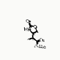 CNC(=O)C(C)C1COC(=O)N1